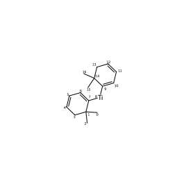 CC1(C)CC=CC=[C]1[Ti][C]1=CC=CCC1(C)C